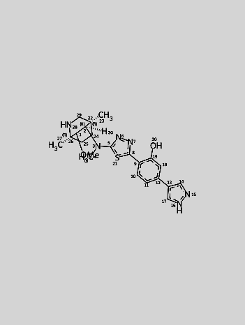 COC1[C@H](N(C)c2nnc(-c3ccc(-c4cn[nH]c4)cc3O)s2)[C@]2(C)CC[C@@]1(C)NC2